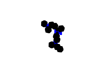 c1ccc(-n2c3ccccc3c3c4cc(-c5nc(-c6ccc7cc(-n8c9ccccc9c9cc%10ccccc%10cc98)ccc7c6)nc6ccccc56)ccc4ccc32)cc1